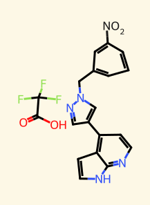 O=C(O)C(F)(F)F.O=[N+]([O-])c1cccc(Cn2cc(-c3ccnc4[nH]ccc34)cn2)c1